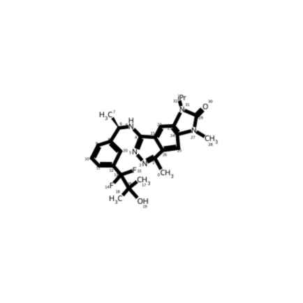 Cc1nnc(N[C@H](C)c2cccc(C(F)(F)C(C)(C)O)c2)c2cc3c(cc12)n(C)c(=O)n3C(C)C